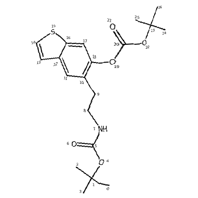 CC(C)(C)OC(=O)NCCc1cc2ccsc2cc1OC(=O)OC(C)(C)C